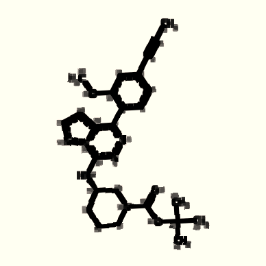 CC#Cc1ccc(-c2nnc(N[C@@H]3CCCN(C(=O)OC(C)(C)C)C3)n3nccc23)c(OC)c1